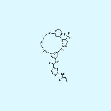 C=CC(=O)Nc1cccc(C(=O)Nc2cc3cc(c2)Nc2ncc(C(F)(F)F)c(n2)-c2cccc(c2)OCC/C=C/CN(C)C3)c1